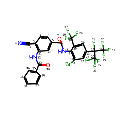 N#Cc1ccc(C(=O)Nc2c(Br)cc(C(F)(C(F)(F)F)C(F)(F)F)cc2C(F)(F)F)cc1NC(=O)c1ccccc1